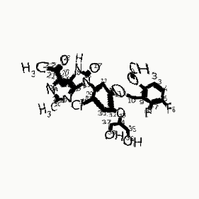 COc1ccc(F)c(F)c1COc1cc(-n2c(=O)[nH]c3c(C(C)=O)nc(C)nc32)c(Cl)cc1OC(CO)CO